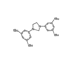 CC(C)(C)c1cc(N2CCN(c3cc(C(C)(C)C)cc(C(C)(C)C)c3)C2)cc(C(C)(C)C)c1